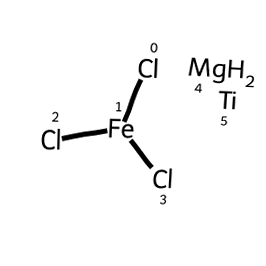 [Cl][Fe]([Cl])[Cl].[MgH2].[Ti]